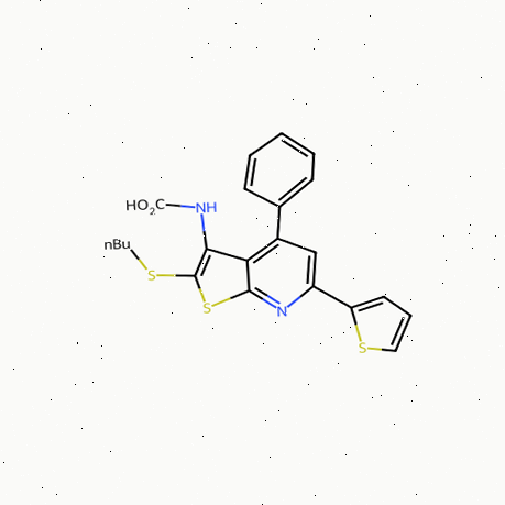 CCCCSc1sc2nc(-c3cccs3)cc(-c3ccccc3)c2c1NC(=O)O